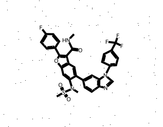 CNC(=O)c1c(-c2ccc(F)cc2)oc2cc(N(C)S(C)(=O)=O)c(-c3ccc4ncn(-c5ccc(C(F)(F)F)cc5)c4c3)cc12